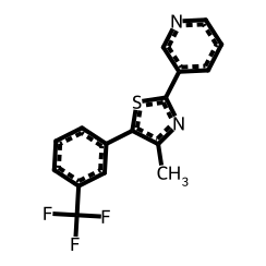 Cc1nc(-c2cccnc2)sc1-c1cccc(C(F)(F)F)c1